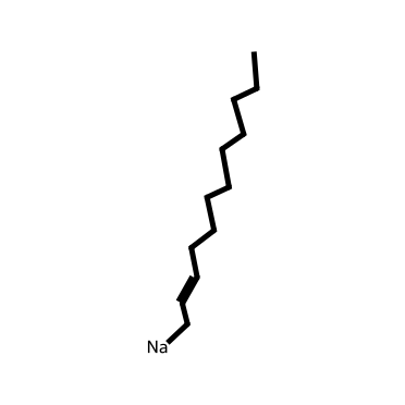 CCCCCCCCCC=C[CH2][Na]